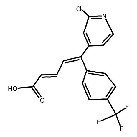 O=C(O)/C=C/C=C(\c1ccc(C(F)(F)F)cc1)c1ccnc(Cl)c1